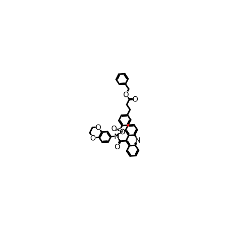 O=C(CCc1ccc(S(=O)(=O)N(C(=O)c2c3ccccc3nc3ccccc23)c2ccc3c(c2)OCCO3)cc1)OCc1ccccc1